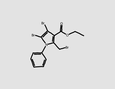 CCOC(=O)c1c(Br)c(Br)n(-c2ccccc2)c1CBr